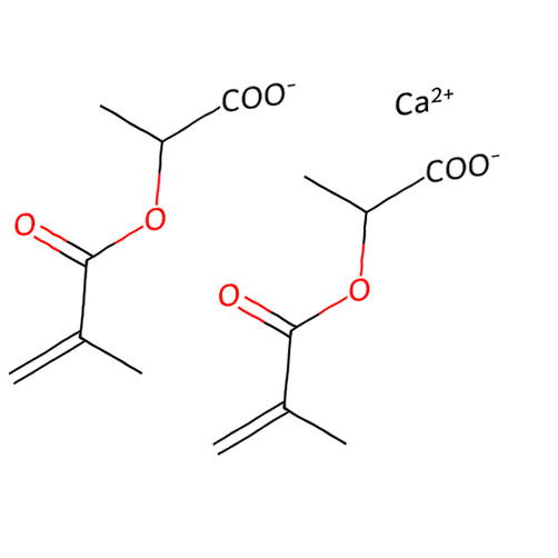 C=C(C)C(=O)OC(C)C(=O)[O-].C=C(C)C(=O)OC(C)C(=O)[O-].[Ca+2]